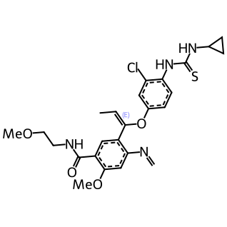 C=Nc1cc(OC)c(C(=O)NCCOC)cc1/C(=C\C)Oc1ccc(NC(=S)NC2CC2)c(Cl)c1